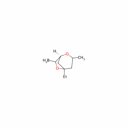 BC1OC2(CC)CC(C)O[C@H]1C2